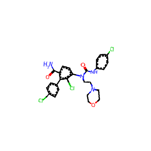 NC(=O)c1ccc(N(CCN2CCOCC2)C(=O)Nc2ccc(Cl)cc2)c(Cl)c1-c1ccc(Cl)cc1